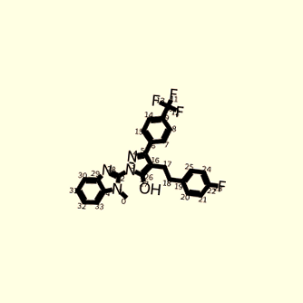 Cn1c(-n2nc(-c3ccc(C(F)(F)F)cc3)c(CCc3ccc(F)cc3)c2O)nc2ccccc21